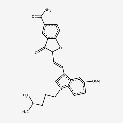 COc1ccc2c(c1)c(C=CC1Oc3ccc(C(N)=O)cc3C1=O)cn2CCCN(C)C